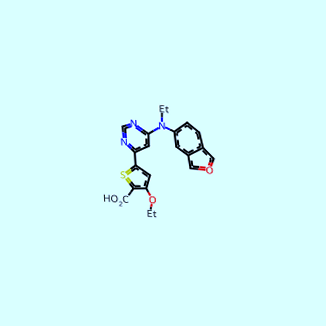 CCOc1cc(-c2cc(N(CC)c3ccc4cocc4c3)ncn2)sc1C(=O)O